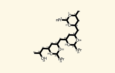 CCCC1OC(C)CC(CC2CC(CC3CC(CC(C)O)OC(CCC)O3)OC(CCC)O2)O1